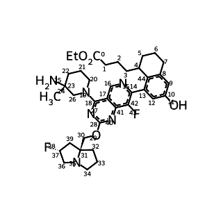 CCOC(=O)CCCC1CCCc2cc(O)cc(-c3ncc4c(N5CCC[C@@](C)(N)C5)nc(OC[C@@]56CCCN5C[C@H](F)C6)nc4c3F)c21